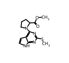 COC(=O)C1CCCN1c1nc(SC)nc2[nH]ccc12